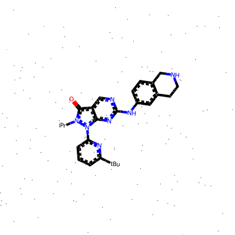 CC(C)n1c(=O)c2cnc(Nc3ccc4c(c3)CCNC4)nc2n1-c1cccc(C(C)(C)C)n1